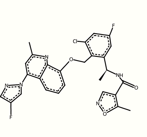 Cc1cc(-n2cc(F)cn2)c2cccc(OCc3c(Cl)cc(F)cc3[C@H](C)NC(=O)c3cnoc3C)c2n1